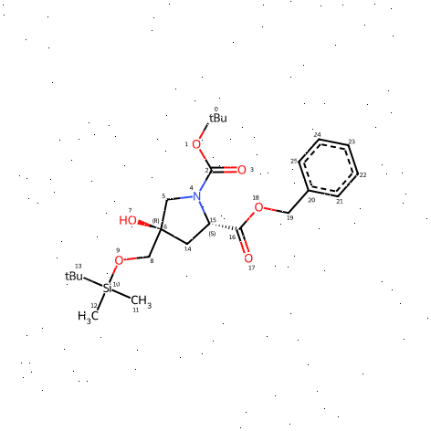 CC(C)(C)OC(=O)N1C[C@@](O)(CO[Si](C)(C)C(C)(C)C)C[C@H]1C(=O)OCc1ccccc1